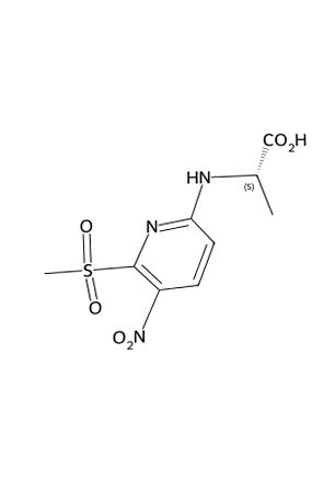 C[C@H](Nc1ccc([N+](=O)[O-])c(S(C)(=O)=O)n1)C(=O)O